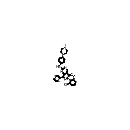 O=c1c2cnc(Nc3ccc(N4CCNCC4)cc3)nc2c(-c2cnccn2)nn1-c1c(Cl)cccc1Cl